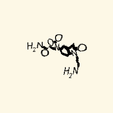 NCCCN1C(=O)Cc2cc(N3C[C@H](C(N)=O)OC3=O)ccc21